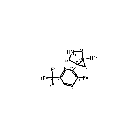 Fc1ccc(C(F)(F)F)cc1[C@]12CNC[C@H]1C2